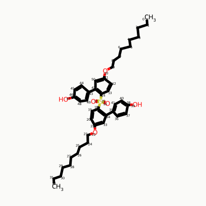 CCCCCCCCCCOc1ccc(S(=O)(=O)c2ccc(OCCCCCCCCCC)cc2-c2ccc(O)cc2)c(-c2ccc(O)cc2)c1